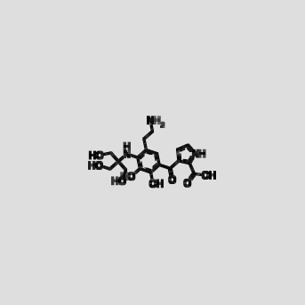 NCCc1cc(C(=O)c2cc[nH]c2C(=O)O)c(O)c(O)c1NC(CO)(CO)CO